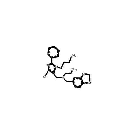 CCCCn1c(-c2ccccc2)nc(Cl)c1CN(CCC)Cc1ccc2c(c1)OCO2